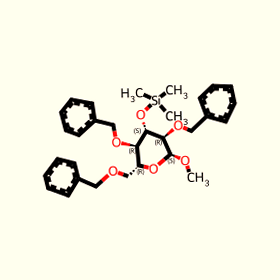 CO[C@H]1O[C@H](COCc2ccccc2)[C@@H](OCc2ccccc2)[C@H](O[Si](C)(C)C)[C@H]1OCc1ccccc1